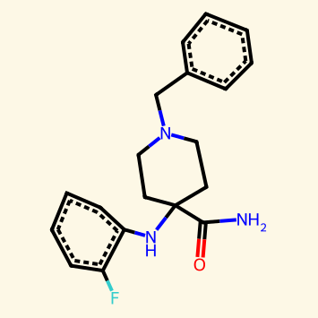 NC(=O)C1(Nc2ccccc2F)CCN(Cc2ccccc2)CC1